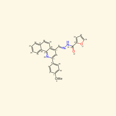 COc1ccc(-c2cc(C=NNC(=O)c3ccco3)c3ccc4ccccc4c3n2)cc1